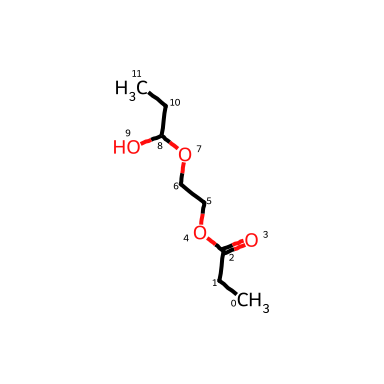 CCC(=O)OCCOC(O)CC